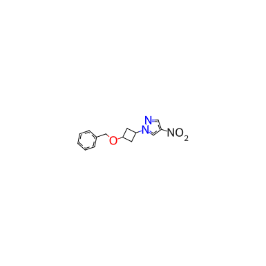 O=[N+]([O-])c1cnn(C2CC(OCc3ccccc3)C2)c1